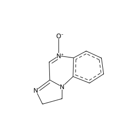 [O-][N+]1=CC2=NCCN2c2ccccc21